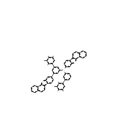 [2H]c1c([2H])c([2H])c(-c2cccc(N(c3cc(-c4ccc5c(c4)oc4c6ccccc6ccc54)cc(-c4c([2H])c([2H])c([2H])c([2H])c4[2H])c3)c3ccc4c(c3)sc3c5ccccc5ccc43)c2)c([2H])c1[2H]